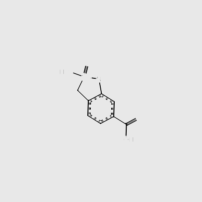 C[SH]1(=O)Cc2ccc(C(=O)O)cc2N1